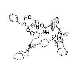 CC(C)C[C@H](NC(=O)[C@H](C)NC(=O)[C@H](Cc1ccccc1)NC(=O)c1ccc(C(C)(C)C)cc1)C(=O)N[C@@H](CCCCNC1CC2CCC1C2)C(=O)N[C@@H](CO)C(=O)OCc1ccccc1